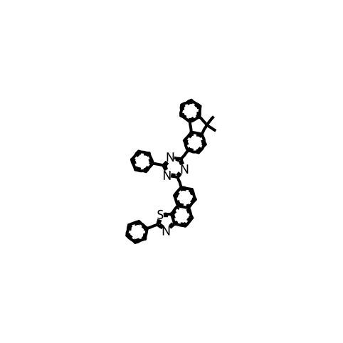 CC1(C)c2ccccc2-c2cc(-c3nc(-c4ccccc4)nc(-c4ccc5ccc6nc(-c7ccccc7)sc6c5c4)n3)ccc21